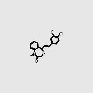 CN1C(=O)CN=C(C=Cc2ccc(Cl)c(Cl)c2)c2ccccc21